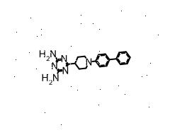 Nc1nc(N)nc(C2CCN(c3ccc(-c4ccccc4)cc3)CC2)n1